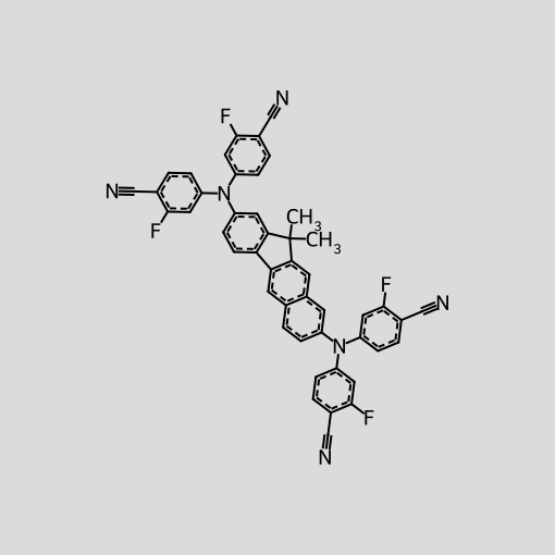 CC1(C)c2cc(N(c3ccc(C#N)c(F)c3)c3ccc(C#N)c(F)c3)ccc2-c2cc3ccc(N(c4ccc(C#N)c(F)c4)c4ccc(C#N)c(F)c4)cc3cc21